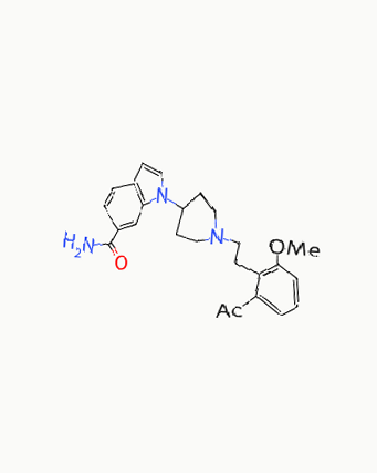 COc1cccc(C(C)=O)c1CCN1CCC(n2ccc3ccc(C(N)=O)cc32)CC1